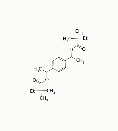 CCC(C)(C)C(=O)OC(C)c1ccc(C(C)OC(=O)C(C)(C)CC)cc1